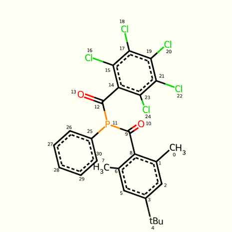 Cc1cc(C(C)(C)C)cc(C)c1C(=O)P(C(=O)c1c(Cl)c(Cl)c(Cl)c(Cl)c1Cl)c1ccccc1